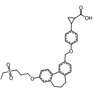 CCS(=O)(=O)CCCOc1ccc2c(c1)CCCc1ccc(COc3ccc(C4CC4C(=O)O)cc3)cc1-2